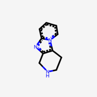 c1ccn2c3c(nc2c1)CNCC3